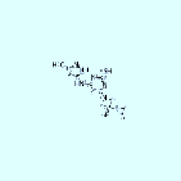 Cc1cc(Nc2cc(N3CC(F)(C4CC4)C3)nc(S)n2)[nH]n1